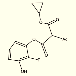 CC(=O)C(C(=O)Oc1cccc(O)c1F)C(=O)OC1CC1